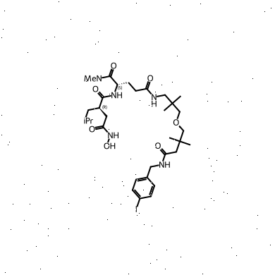 CNC(=O)[C@H](CCC(=O)NCC(C)(C)COCC(C)(C)CC(=O)NCc1ccc(I)cc1)NC(=O)[C@@H](CC(=O)NO)CC(C)C